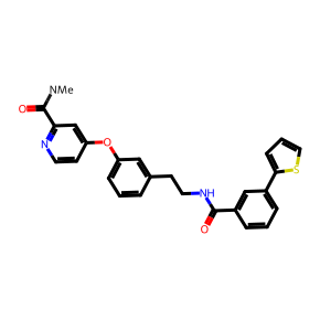 CNC(=O)c1cc(Oc2cccc(CCNC(=O)c3cccc(-c4cccs4)c3)c2)ccn1